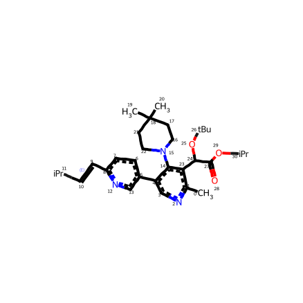 Cc1ncc(-c2ccc(/C=C/C(C)C)nc2)c(N2CCC(C)(C)CC2)c1C(OC(C)(C)C)C(=O)OC(C)C